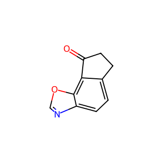 O=C1CCc2ccc3ncoc3c21